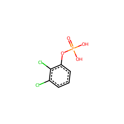 O=P(O)(O)Oc1cccc(Cl)c1Cl